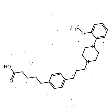 COc1ccccc1N1CCN(CCCc2ccc(CCCCC(=O)O)cc2)CC1